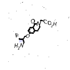 NC/C(=C/F)COc1ccc2c(c1)CCN(CC(=O)O)C2=O